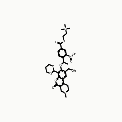 CC(Oc1c(CO)cc2c3c(c(=O)oc2c1C1OCCCO1)CN(C)CC3)c1ccc(C(=O)OCC[Si](C)(C)C)cc1[N+](=O)[O-]